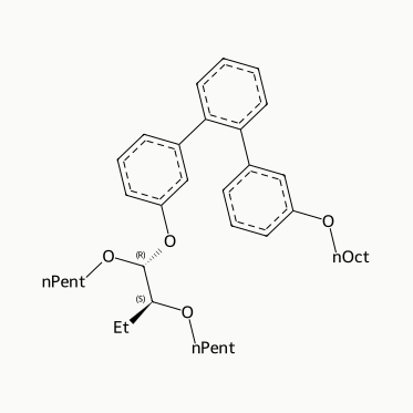 CCCCCCCCOc1cccc(-c2ccccc2-c2cccc(O[C@@H](OCCCCC)[C@H](CC)OCCCCC)c2)c1